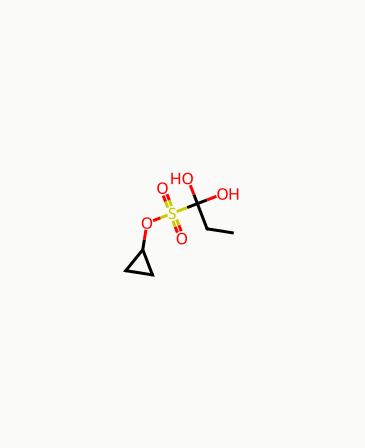 CCC(O)(O)S(=O)(=O)OC1CC1